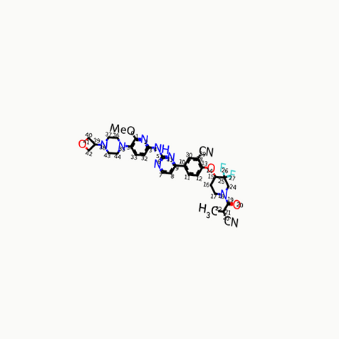 COc1nc(Nc2nccc(-c3ccc(OC4CCN(C(=O)C(C)C#N)CC4(F)F)c(C#N)c3)n2)ccc1N1CCN(C2COC2)CC1